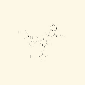 C=CC(=O)N1CCN(C2NC(OCC3CCCN3C)NC3C[C@@]4(CCC32)CC(OC)c2ccccc2O4)CC1CC#N